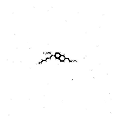 COCCC1CCc2cc([C@H](CN)CCCCO)ccc2C1